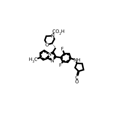 Cc1ccn2c(C[C@H]3CN(C(=O)O)CCO3)c(-c3c(F)cc(NC4CCC(=C=O)C4)cc3F)nc2c1